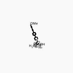 COCC#CC#Cc1ccc(C2=CCN(CCC(C)(C(=O)NO)S(C)(=O)=O)CC2)cc1